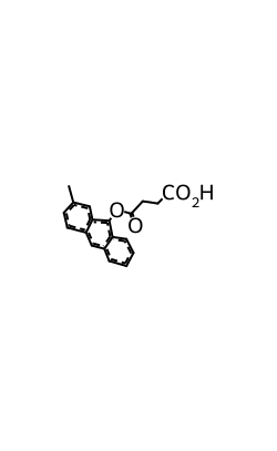 Cc1ccc2cc3ccccc3c(OC(=O)CCC(=O)O)c2c1